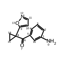 Nc1cccc(C(=O)C2(c3ccno3)CC2)c1